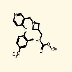 CC(C)(C)OC(=O)NCC1CN(Cc2cnccc2Oc2ccc([N+](=O)[O-])cc2F)C1